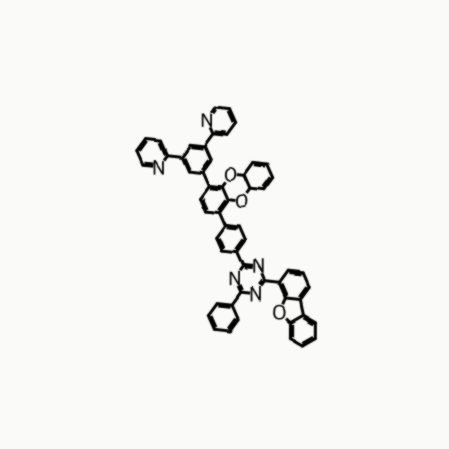 C1=CC2Oc3c(-c4ccc(-c5nc(-c6ccccc6)nc(-c6cccc7c6oc6ccccc67)n5)cc4)ccc(-c4cc(-c5ccccn5)cc(-c5ccccn5)c4)c3OC2C=C1